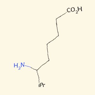 CC(C)C(N)CCCCC(=O)O